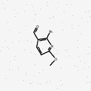 COc1ccc(C=O)c(Br)n1